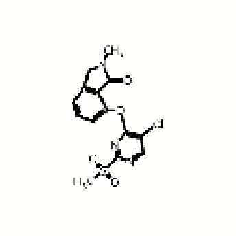 CN1Cc2cccc(Oc3nc(S(C)(=O)=O)ncc3Cl)c2C1=O